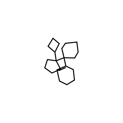 C1=C(C2(C3(C4CCC4)CCCC3)CCCCC2)CCCC1